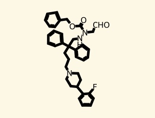 O=CCN(NCC(CCCN1CCC(c2ccccc2F)CC1)(c1ccccc1)c1ccccc1)C(=O)OCc1ccccc1